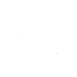 Cc1nc2cnccc2n1C1CCNCC1